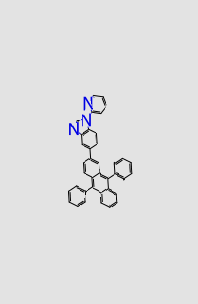 c1ccc(-c2c3ccccc3c(-c3ccccc3)c3cc(-c4ccc5c(c4)ncn5-c4ccccn4)ccc23)cc1